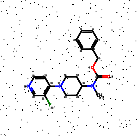 CN(C(=O)OCc1ccccc1)C1CCN(c2ccncc2F)CC1